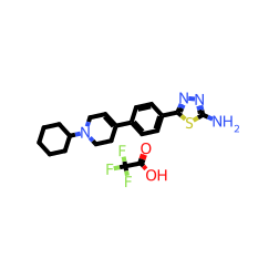 Nc1nnc(-c2ccc(C3=CCN(C4CCCCC4)CC3)cc2)s1.O=C(O)C(F)(F)F